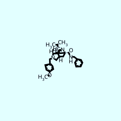 COc1ccc(CN2C[C@H]3C[C@]4(C(=O)NCc5ccccc5)N=C[C@H]3[C@H]2[C@H]4CC(C)C)cc1